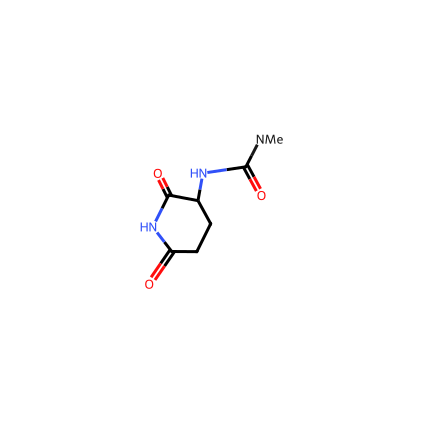 CNC(=O)NC1CCC(=O)NC1=O